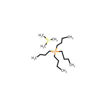 CCCC[PH](CCCC)(CCCC)CCCC.C[S+](C)C